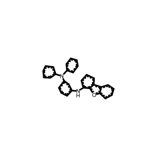 c1ccc(N(c2ccccc2)c2cccc(Nc3cccc4c3oc3ccccc34)c2)cc1